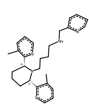 Cc1cccnc1[C@H]1CCC[C@@H](c2ncccc2C)N1CCCCNCc1ccccn1